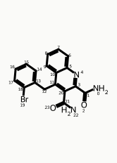 NC(=O)c1nc2ccccc2c(Cc2ccccc2Br)c1C(N)=O